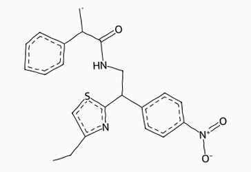 [CH2]C(C(=O)NCC(c1ccc([N+](=O)[O-])cc1)c1nc(CC)cs1)c1ccccc1